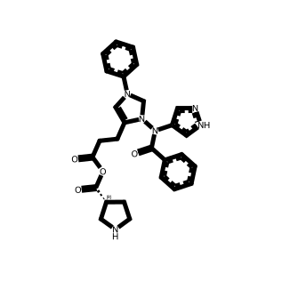 O=C(CCC1=CN(c2ccccc2)CN1N(C(=O)c1ccccc1)c1cn[nH]c1)OC(=O)[C@@H]1CCNC1